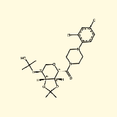 CC(C)(O)O[C@H]1CO[C@H](C(=O)N2CCN(c3ccc(Cl)cc3Cl)CC2)[C@@H]2OC(C)(C)O[C@@H]21